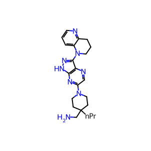 CCCC1(CN)CCN(c2cnc3c(N4CCCc5ncccc54)n[nH]c3n2)CC1